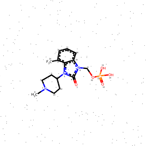 CN1CCC(n2c(=O)n(COP(=O)(O)O)c3cccc(C(F)(F)F)c32)CC1